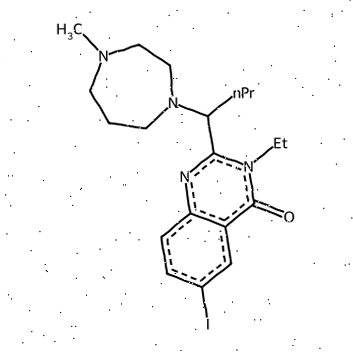 CCCC(c1nc2ccc(I)cc2c(=O)n1CC)N1CCCN(C)CC1